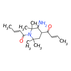 CC=CC(=O)C1CC(C)(C)N(C(=O)C=CC)C(C)(C)C1N